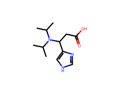 CC(C)N(C(C)C)C(CC(=O)O)c1c[nH]cn1